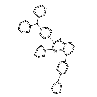 c1ccc(-c2ccc(-c3cccc4nc(-c5ccc(N(c6ccccc6)c6ccccc6)cc5)c(-c5ccccc5)nc34)cc2)cc1